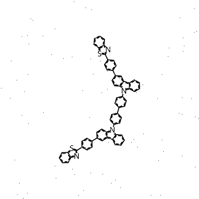 c1ccc2sc(-c3ccc(-c4ccc5c(c4)c4ccccc4n5-c4ccc(-c5ccc(-n6c7ccccc7c7cc(-c8ccc(-c9nc%10ccccc%10s9)cc8)ccc76)cc5)cc4)cc3)nc2c1